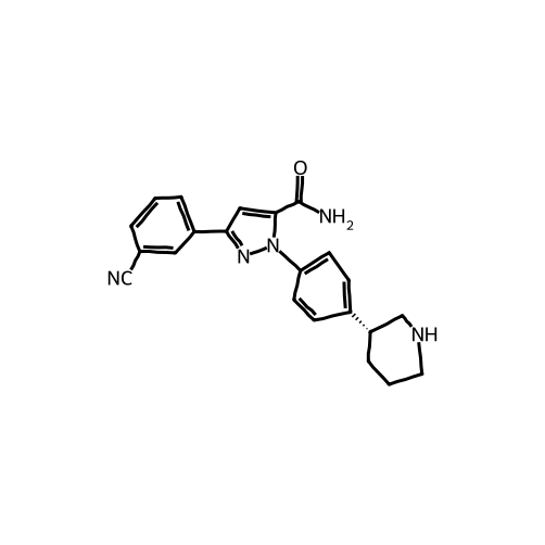 N#Cc1cccc(-c2cc(C(N)=O)n(-c3ccc([C@H]4CCCNC4)cc3)n2)c1